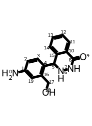 Nc1ccc(C2NNC(=O)c3ccccc32)c(CO)c1